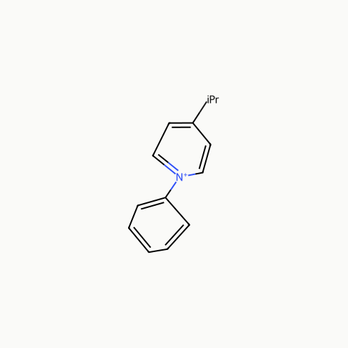 CC(C)c1cc[n+](-c2ccccc2)cc1